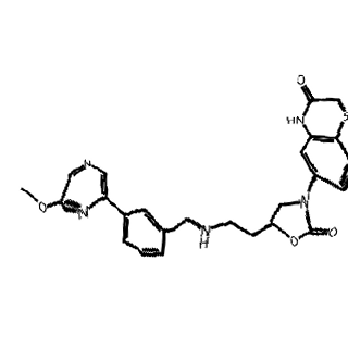 COc1cncc(-c2cccc(CNCCC3CN(c4ccc5c(c4)NC(=O)CS5)C(=O)O3)c2)n1